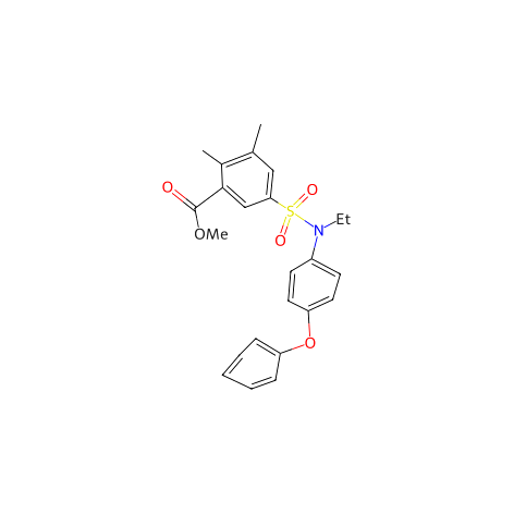 CCN(c1ccc(Oc2ccccc2)cc1)S(=O)(=O)c1cc(C)c(C)c(C(=O)OC)c1